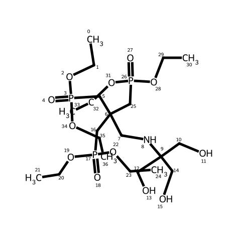 CCOP(=O)(CC(CNC(CO)(CO)CO)(CP(=O)(OCC)OCC)CP(=O)(OCC)OCC)OCC